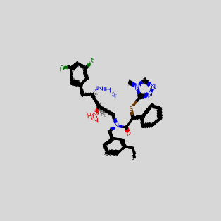 CCc1cccc(CN(C[C@@H](O)[C@@H](N)Cc2cc(F)cc(F)c2)C(=O)C(Sc2nncn2C)c2ccccc2)c1